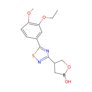 CCOc1cc(-c2nc(C3COB(O)C3)ns2)ccc1OC